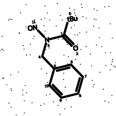 CC(C)(C)C(=O)N(Cc1ccccc1)N=O